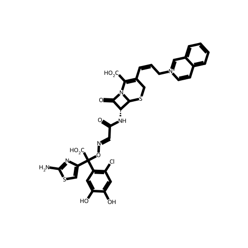 Nc1nc(C(ON=CC(=O)N[C@@H]2C(=O)N3C(C(=O)O)=C(/C=C\C[n+]4ccc5ccccc5c4)CSC23)(C(=O)O)c2cc(O)c(O)cc2Cl)cs1